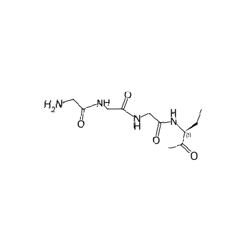 CC[C@H](NC(=O)CNC(=O)CNC(=O)CN)C(C)=O